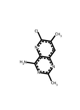 Cc1nc(N)c2nc(Cl)c(C)cc2n1